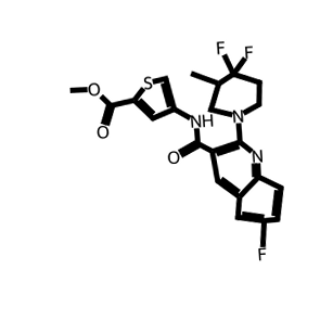 COC(=O)c1cc(NC(=O)c2cc3cc(F)ccc3nc2N2CCC(F)(F)C(C)C2)cs1